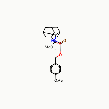 COC(=O)C12CC3CC(C1)C(NC(=S)C(C)(C)OCc1ccc(OC)cc1)C(C3)C2